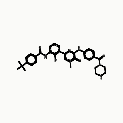 Cn1cc(-c2cccc(NC(=O)c3ccc(C(C)(C)C)cc3)c2F)nc(Nc2ccc(C(=O)N3CCNCC3)cc2)c1=O